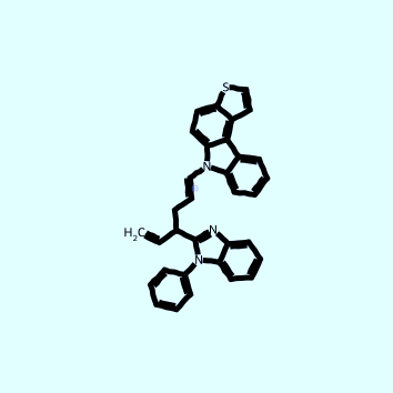 C=CC(C/C=C/n1c2ccccc2c2c3ccsc3ccc21)c1nc2ccccc2n1-c1ccccc1